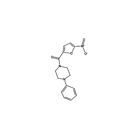 O=C(c1ccc([N+](=O)[O-])o1)N1CCN(c2ccccc2)CC1